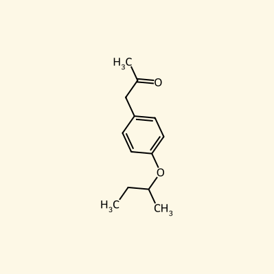 CCC(C)Oc1ccc(CC(C)=O)cc1